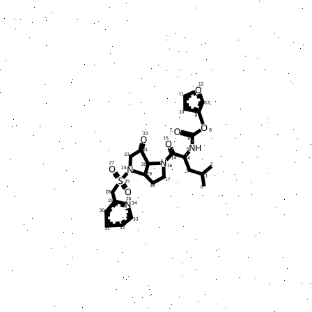 CC(C)CC(NC(=O)Oc1ccoc1)C(=O)N1CCC2C1C(=O)CN2S(=O)(=O)Cc1ccccn1